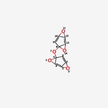 C1=C2OC2=C2OC12OC12C=C3OC3=C1O2